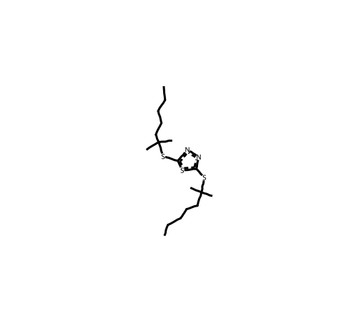 CCCCCC(C)(C)Sc1nnc(SC(C)(C)CCCCC)s1